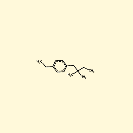 CCc1ccc(CC(C)(N)CC)cc1